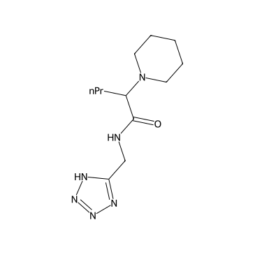 CCCC(C(=O)NCc1nnn[nH]1)N1CCCCC1